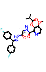 COc1ccnc(C(=O)N[C@@H](C)C(=O)NN=C(c2ccc(F)cc2)c2ccc(F)cc2)c1OC(=O)C(C)C